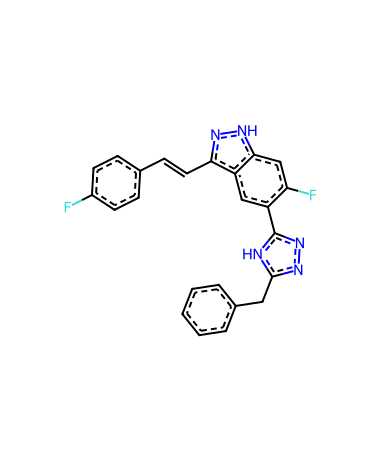 Fc1ccc(C=Cc2n[nH]c3cc(F)c(-c4nnc(Cc5ccccc5)[nH]4)cc23)cc1